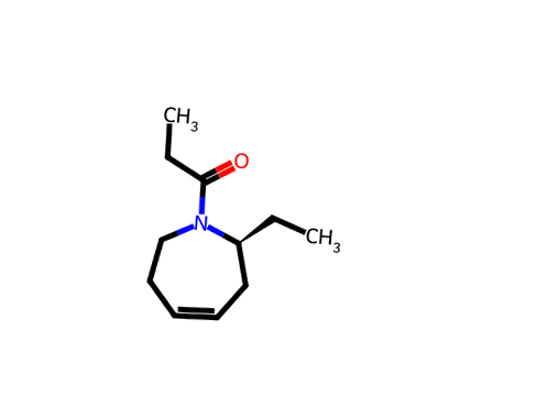 CCC(=O)N1CCC=CC[C@@H]1CC